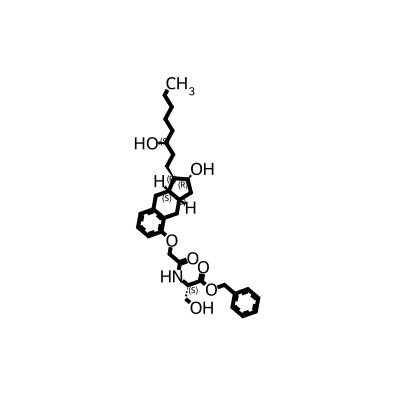 CCCCC[C@H](O)CC[C@@H]1[C@H]2Cc3cccc(OCC(=O)N[C@@H](CO)C(=O)OCc4ccccc4)c3C[C@H]2C[C@H]1O